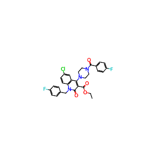 CCOC(=O)c1c(N2CCN(C(=O)c3ccc(F)cc3)CC2)c2cc(Cl)ccc2n(Cc2ccc(F)cc2)c1=O